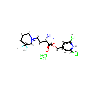 Cl.Cl.N[C@@H](CCN1CCCC(F)(F)C1)C(=O)OCc1cc(Cl)nc(Cl)c1